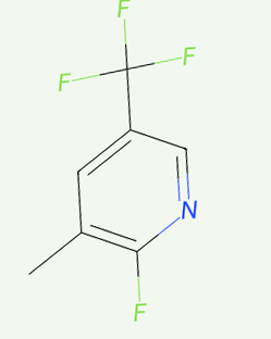 Cc1cc(C(F)(F)F)cnc1F